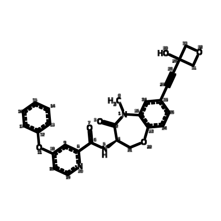 CN1C(=O)[C@H](NC(=O)c2cc(Oc3ccccc3)ccn2)COc2ccc(C#CC3(O)COC3)cc21